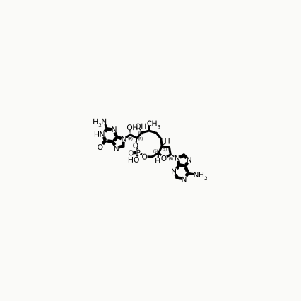 CC1CC[C@H]2C[C@H](n3cnc4c(N)ncnc43)O[C@@H]2COP(=O)(O)O[C@@H]([C@@H](O)n2cnc3c(=O)[nH]c(N)nc32)[C@@H]1O